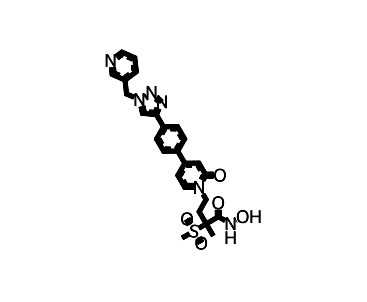 CC(CCn1ccc(-c2ccc(-c3cn(Cc4cccnc4)nn3)cc2)cc1=O)(C(=O)NO)S(C)(=O)=O